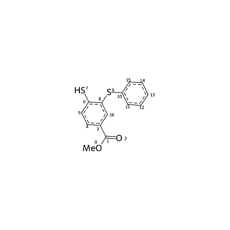 COC(=O)c1ccc(S)c(Sc2ccccc2)c1